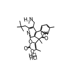 Cc1ccc(-c2c(CN)c(CC(C)(C)C)nc(C)c2C(C)(C(=O)O)c2oc(=O)oc2C)cc1.Cl.Cl